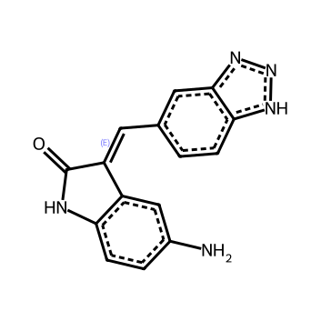 Nc1ccc2c(c1)/C(=C\c1ccc3[nH]nnc3c1)C(=O)N2